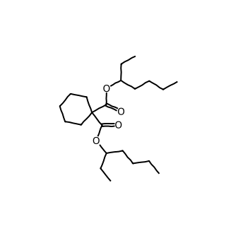 CCCCC(CC)OC(=O)C1(C(=O)OC(CC)CCCC)CCCCC1